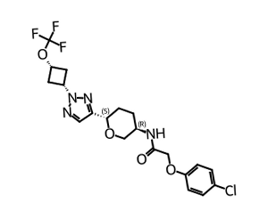 O=C(COc1ccc(Cl)cc1)N[C@@H]1CC[C@@H](c2cnn([C@H]3C[C@@H](OC(F)(F)F)C3)n2)OC1